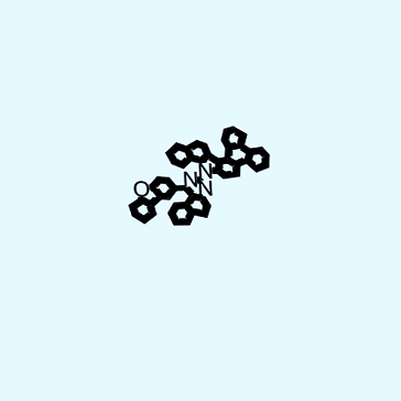 c1ccc2c(c1)ccc1nc(-n3c4ccc5c6ccccc6c6ccccc6c5c4c4ccc5ccccc5c43)nc(-c3ccc4oc5ccccc5c4c3)c12